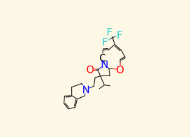 CC(C)C1(CCN2CCc3ccccc3C2)CC2O/C=C/C=C(C(F)(F)F)\C=C\CN2C1=O